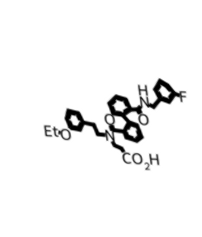 CCOc1cccc(CCN(CCC(=O)O)C(=O)c2ccccc2-c2ccccc2C(=O)NCc2cccc(F)c2)c1